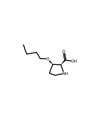 CCCCO[C@@H]1CCN[C@@H]1C(=O)O